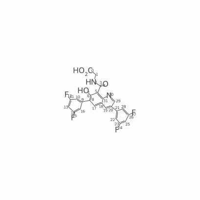 O=C(O)CNC(=O)c1c(O)c(-c2cc(F)cc(F)c2)cc2cc(-c3cc(F)cc(F)c3)cnc12